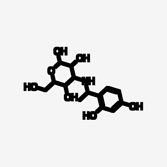 CC(NC1C(O)C(O)OC(CO)C1O)c1ccc(O)cc1O